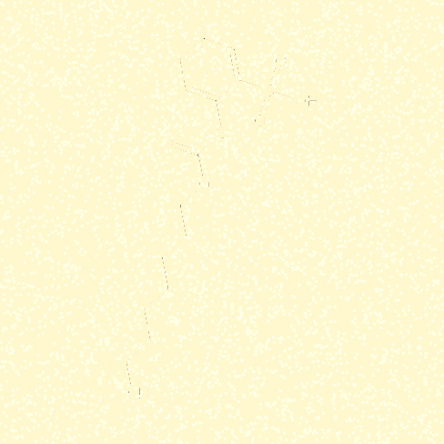 CCCCCCCCOC(=O)Oc1ccccc1S(=O)(=O)O